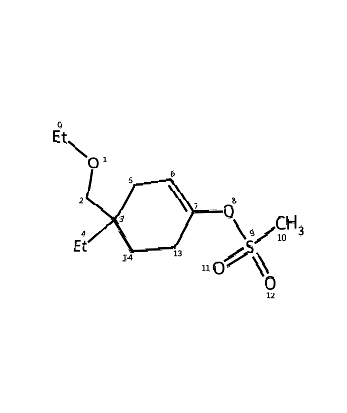 CCOCC1(CC)CC=C(OS(C)(=O)=O)CC1